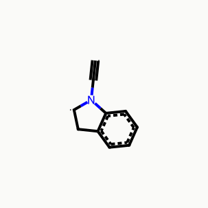 [C]#CN1[CH]Cc2ccccc21